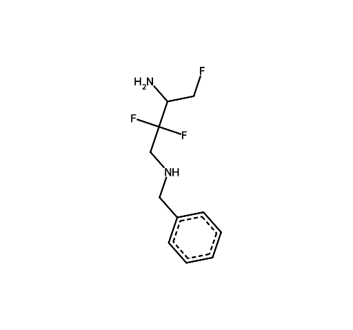 NC(CF)C(F)(F)CNCc1ccccc1